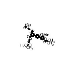 C=C(C)C(=O)OCCOC(=O)c1cc(C(=O)OCCOC(=O)C(C)(C)C)cc(-c2ccc(-c3ccc(OC(=O)C(=C)C)cc3OC)cc2)c1